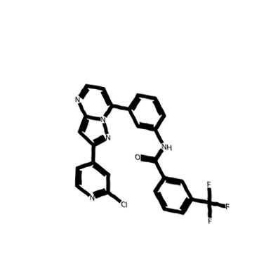 O=C(Nc1cccc(-c2ccnc3cc(-c4ccnc(Cl)c4)nn23)c1)c1cccc(C(F)(F)F)c1